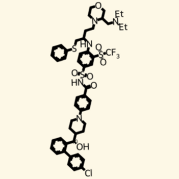 CCN(CC)CC1COCCN1CCC(CSc1ccccc1)Nc1ccc(S(=O)(=O)NC(=O)c2ccc(N3CCC([C@@H](O)c4ccccc4-c4ccc(Cl)cc4)CC3)cc2)cc1S(=O)(=O)C(F)(F)F